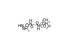 C=CC(O)CC(NC(=O)CCC(=O)Nc1ccc(C(=N)N)cc1)C(=O)O